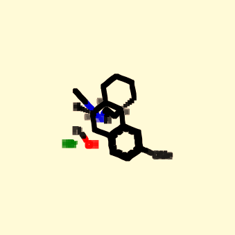 Br.CCO.COc1ccc2c(c1)[C@]13CCCC[C@@H]1[C@H](C2)N(C)CC3